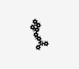 c1ccc(-c2nc(-c3ccccc3)nc(-c3ccc4c(c3)sc3ccc(-c5cccc6c5sc5cccc(-n7c8ccccc8c8ccccc87)c56)cc34)n2)cc1